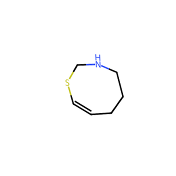 C1=CSCNCCC1